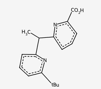 CC(c1cccc(C(=O)O)n1)c1cccc(C(C)(C)C)n1